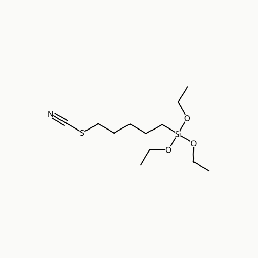 CCO[Si](CCCCCSC#N)(OCC)OCC